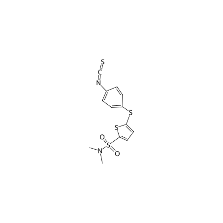 CN(C)S(=O)(=O)c1ccc(Sc2ccc(N=C=S)cc2)s1